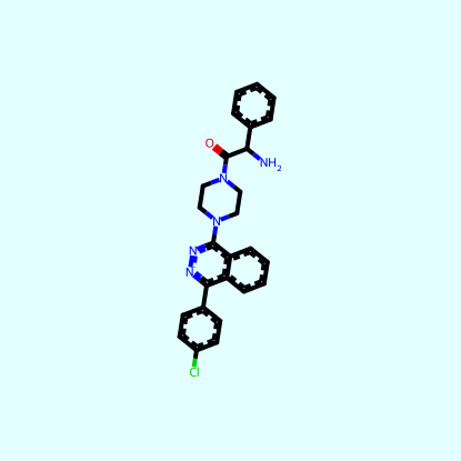 NC(C(=O)N1CCN(c2nnc(-c3ccc(Cl)cc3)c3ccccc23)CC1)c1ccccc1